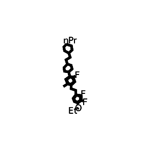 CCCC1CCC(CCC2CCC(c3cc(C)c(CCc4ccc(OCC)c(F)c4F)cc3F)CC2)CC1